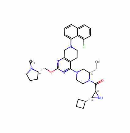 CN1CCC[C@H]1COc1nc2c(c(N3CCN(C(=O)[C@H]4N[C@@H]4C4CCC4)[C@@H](CC#N)C3)n1)CCN(c1cccc3cccc(Cl)c13)C2